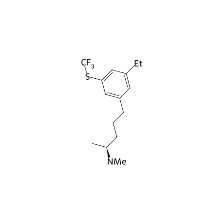 CCc1cc(CCC[C@H](C)NC)cc(SC(F)(F)F)c1